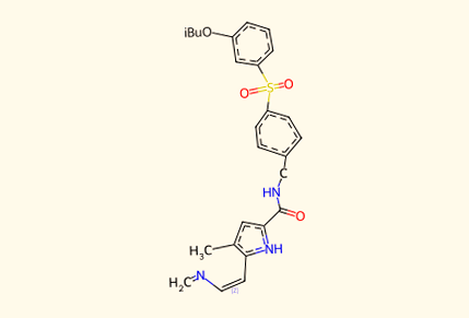 C=N/C=C\c1[nH]c(C(=O)NCc2ccc(S(=O)(=O)c3cccc(OCC(C)C)c3)cc2)cc1C